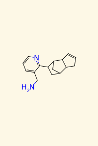 NCc1cccnc1C1CC2CC1C1C=CCC21